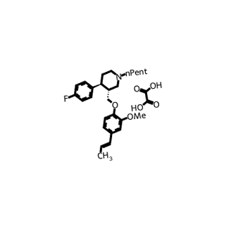 CC=Cc1ccc(OC[C@H]2CN(CCCCC)CC[C@@H]2c2ccc(F)cc2)c(OC)c1.O=C(O)C(=O)O